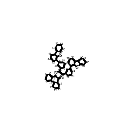 c1cc(-c2nc3c4ccccc4c4ccccc4c3nc2-c2cccc(-c3cccc4c3sc3ccccc34)c2)cc(-c2cccc3c2sc2ccccc23)c1